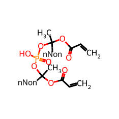 C=CC(=O)OC(C)(CCCCCCCCC)OP(=O)(O)OC(C)(CCCCCCCCC)OC(=O)C=C